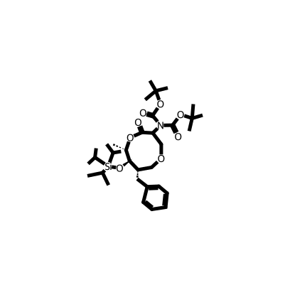 CC(C)[Si](O[C@@H]1[C@@H](Cc2ccccc2)COCC(N(C(=O)OC(C)(C)C)C(=O)OC(C)(C)C)C(=O)O[C@H]1C)(C(C)C)C(C)C